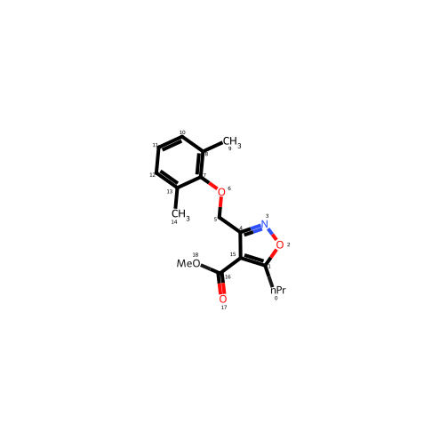 CCCc1onc(COc2c(C)cccc2C)c1C(=O)OC